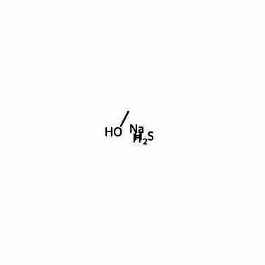 CO.S.[NaH]